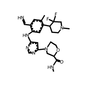 CNC(=O)C1CN(c2cc(Nc3cc(C4CCN(C)CC4(F)F)c(C)cc3C=N)ncn2)CCO1